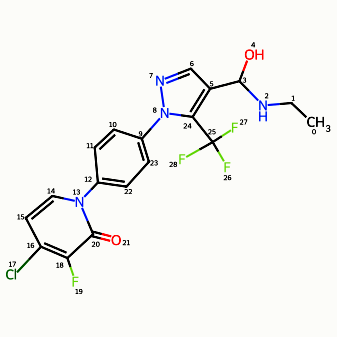 CCNC(O)c1cnn(-c2ccc(-n3ccc(Cl)c(F)c3=O)cc2)c1C(F)(F)F